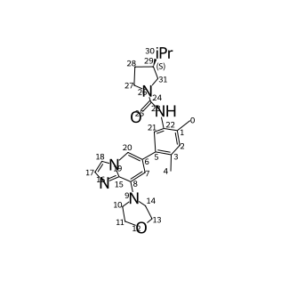 Cc1cc(C)c(-c2cc(N3CCOCC3)c3nccn3c2)cc1NC(=O)N1CC[C@@H](C(C)C)C1